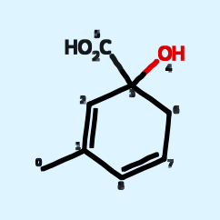 CC1=CC(O)(C(=O)O)CC=C1